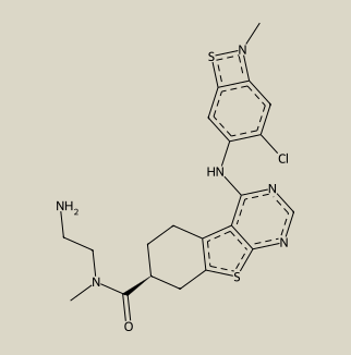 CN(CCN)C(=O)[C@H]1CCc2c(sc3ncnc(Nc4cc5sn(C)c5cc4Cl)c23)C1